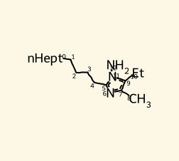 CCCCCCCCCCCc1nc(C)c(CC)n1N